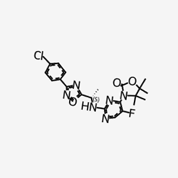 C[C@H](Nc1ncc(F)c(N2C(=O)OC(C)(C)C2(C)C)n1)c1nc(-c2ccc(Cl)cc2)no1